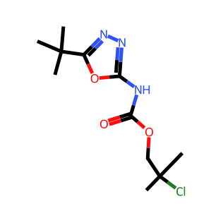 CC(C)(Cl)COC(=O)Nc1nnc(C(C)(C)C)o1